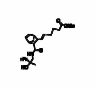 CCCC(C)(O)CNC(=O)C1C2C=CC(C2)C1C=CCCCC(=O)OC